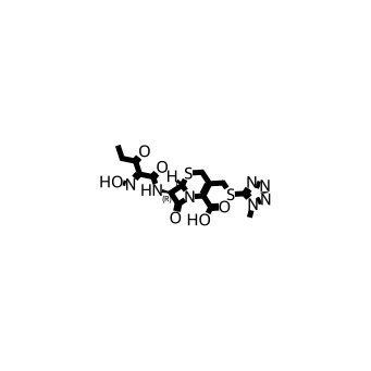 CCC(=O)C(=NO)C(=O)N[C@@H]1C(=O)N2C(C(=O)O)=C(CSc3nnnn3C)CS[C@@H]12